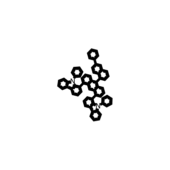 c1ccc(-c2ccc3c(-c4c5cccc(-c6cccc7c8ccccc8n(-c8ccccc8)c67)c5cc5c(-c6cccc7c8ccccc8n(-c8ccccc8)c67)cccc45)cccc3c2)cc1